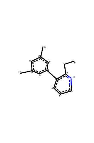 CCc1ncccc1-c1cc(C)cc(C)c1